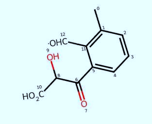 Cc1cccc(C(=O)C(O)C(=O)O)c1[C]=O